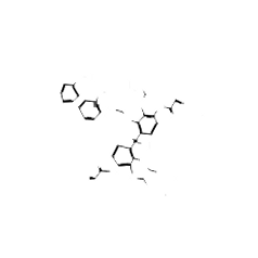 C=CC(=O)Oc1ccc(C(C)(C)c2ccc(OC(=O)C=C)c(OCC)c2OCC)c(OCC)c1OCC.Oc1ccccc1.Oc1ccccc1